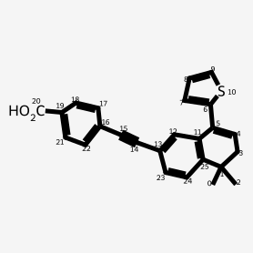 CC1(C)CC=C(c2cccs2)c2cc(C#Cc3ccc(C(=O)O)cc3)ccc21